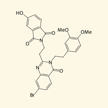 COc1ccc(CCn2c(CCN3C(=O)c4ccc(O)cc4C3=O)nc3cc(Br)ccc3c2=O)cc1OC